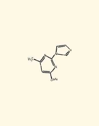 COc1cc(C)nc(-n2ccnc2)n1